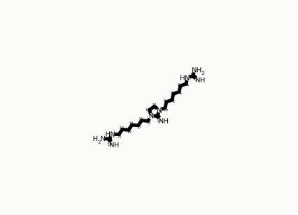 N=C(N)NCCCCCCCN1CCN(CCCCCCCNC(=N)N)C1=N